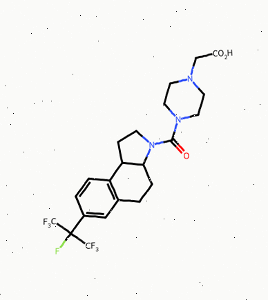 O=C(O)CN1CCN(C(=O)N2CCC3c4ccc(C(F)(C(F)(F)F)C(F)(F)F)cc4CCC32)CC1